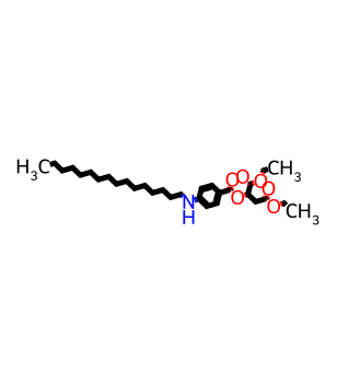 CCCCCCCCCCCCCCCCNc1ccc(C(=O)OC(CC(=O)OCC)C(=O)OCC)cc1